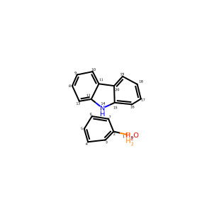 O.Pc1ccccc1.c1ccc2c(c1)[nH]c1ccccc12